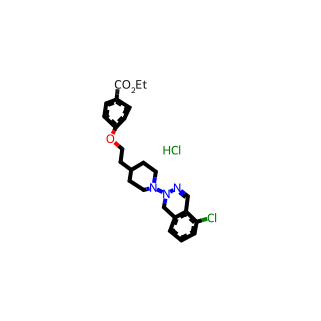 CCOC(=O)c1ccc(OCCC2CCN(N3Cc4cccc(Cl)c4C=N3)CC2)cc1.Cl